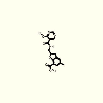 CCOc1ncncc1C(=O)NCc1cc2cc(C)cc(C(=O)OC)c2o1